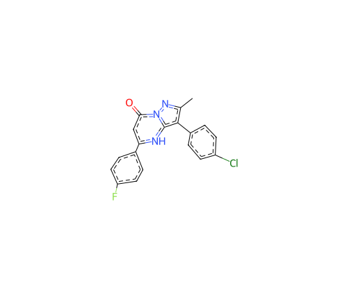 Cc1nn2c(=O)cc(-c3ccc(F)cc3)[nH]c2c1-c1ccc(Cl)cc1